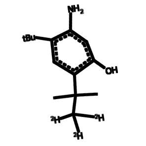 [2H]C([2H])([2H])C(C)(C)c1cc(C(C)(C)C)c(N)cc1O